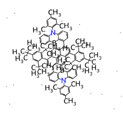 Cc1cc(C)c(N2c3ccccc3B3c4c(cccc42)-c2cc(-c4c(C(C)(C)C)cc(C(C)(C)C)cc4C(C)(C)C)c4cc5c6c(cc(-c7c(C(C)(C)C)cc(C(C)(C)C)cc7C(C)(C)C)c7cc3c2c4c76)-c2cccc3c2B5c2ccccc2N3c2c(C)cc(C)cc2C)c(C)c1